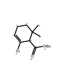 CCC1=CCCC(C)(C)C1C(=O)OCC(C)C